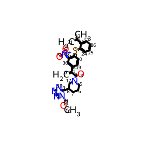 C=C(C(=O)N1CCCC(c2nnnn2COC)C1)c1ccc(Sc2ccccc2C(C)C)c([N+](=O)[O-])c1